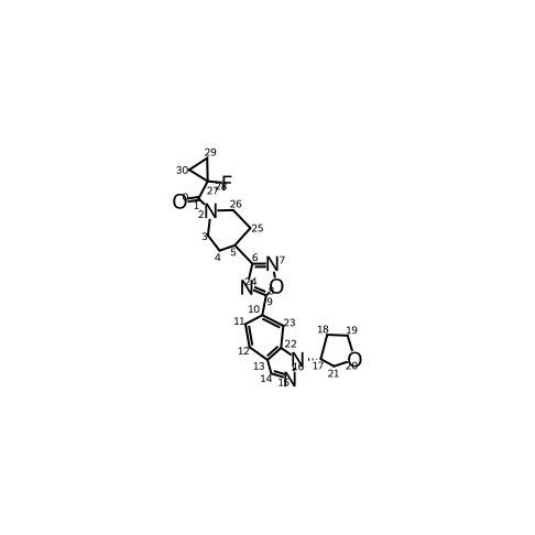 O=C(N1CCC(c2noc(-c3ccc4cnn([C@@H]5CCOC5)c4c3)n2)CC1)C1(F)CC1